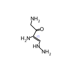 NCC(=O)/C(N)=C/NN